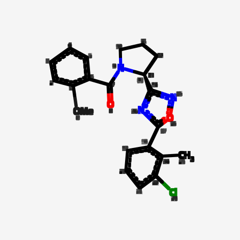 COc1ccccc1C(=O)N1CCC[C@H]1c1noc(-c2cccc(Cl)c2C)n1